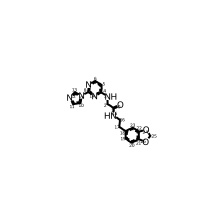 O=C(CNc1ccnc(-n2ccnc2)n1)NCCc1ccc2c(c1)OCO2